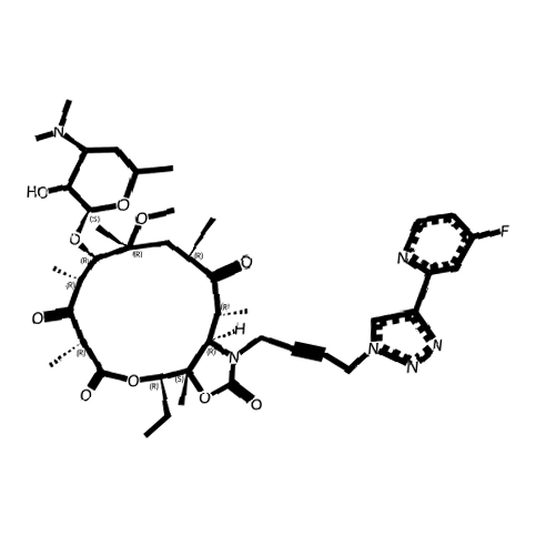 CC[C@H]1OC(=O)[C@H](C)C(=O)[C@H](C)[C@@H](O[C@@H]2OC(C)CC(N(C)C)C2O)[C@](C)(OC)C[C@@H](C)C(=O)[C@H](C)[C@H]2N(CC#CCn3cc(-c4cc(F)ccn4)nn3)C(=O)O[C@]12C